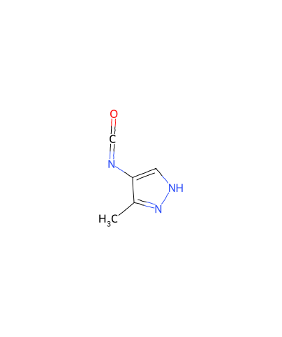 Cc1n[nH]cc1N=C=O